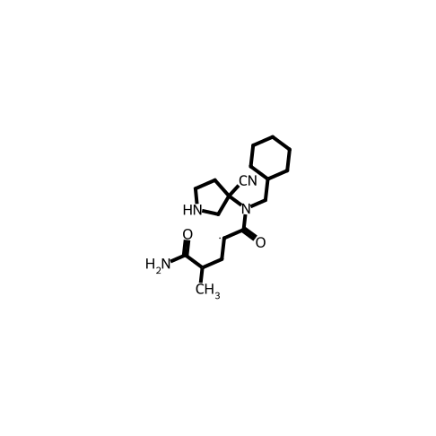 CC(C[CH]C(=O)N(CC1CCCCC1)C1(C#N)CCNC1)C(N)=O